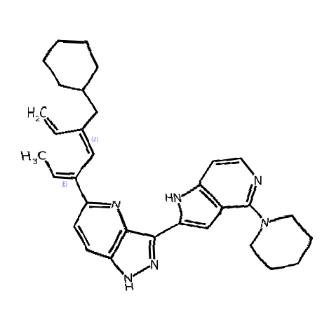 C=C/C(=C\C(=C/C)c1ccc2[nH]nc(-c3cc4c(N5CCCCC5)nccc4[nH]3)c2n1)CC1CCCCC1